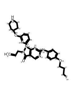 C=CCn1c(=O)c2cnc(Nc3ccc(OCCCF)cc3)nc2n1-c1cccc(OC2CCNCC2)n1